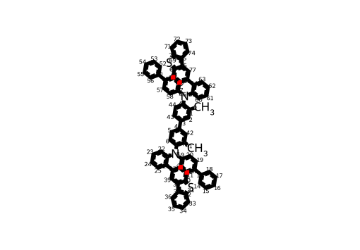 Cc1cc(-c2ccc(N(c3ccc(-c4ccccc4)cc3)c3ccccc3-c3ccc4sc5ccccc5c4c3)c(C)c2)ccc1N(c1ccc(-c2ccccc2)cc1)c1ccccc1-c1ccc2sc3ccccc3c2c1